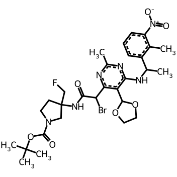 Cc1nc(NC(C)c2cccc([N+](=O)[O-])c2C)c(C2OCCO2)c(C(Br)C(=O)NC2(CF)CCN(C(=O)OC(C)(C)C)C2)n1